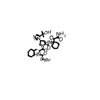 CC(C)(C)OC(=O)N[C@H](CC1CCCCC1)C(=O)N1C[C@@H](n2nncc2C(C)(C)O)C[C@H]1C(=O)NC1(C(=O)C(N)=O)CCCCC1